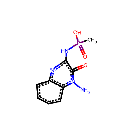 CP(=O)(O)Nc1nc2ccccc2n(N)c1=O